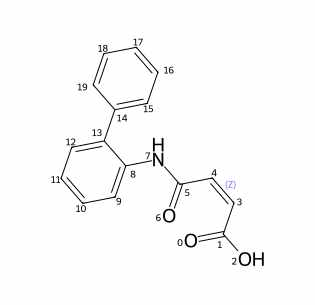 O=C(O)/C=C\C(=O)Nc1ccccc1-c1ccccc1